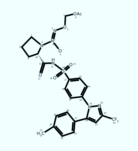 CC(=O)OCON=[N+]([O-])N1CCC[C@H]1C(=O)NS(=O)(=O)c1ccc(-n2nc(C(F)(F)F)cc2-c2ccc(C)cc2)cc1